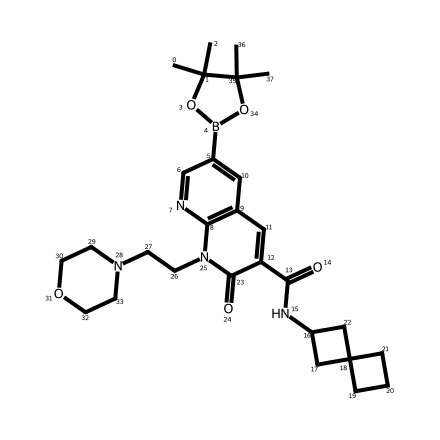 CC1(C)OB(c2cnc3c(c2)cc(C(=O)NC2CC4(CCC4)C2)c(=O)n3CCN2CCOCC2)OC1(C)C